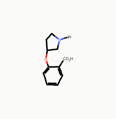 CC(C)N1CCC(Oc2ccccc2C(=O)O)C1